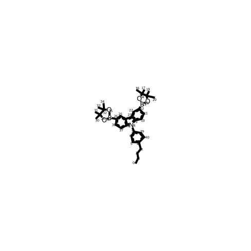 CCCCc1ccc(-n2c3ccc(B4OC(C)(C)C(C)(C)O4)cc3c3cc(B4OC(C)(C)C(C)(C)O4)ccc32)cc1